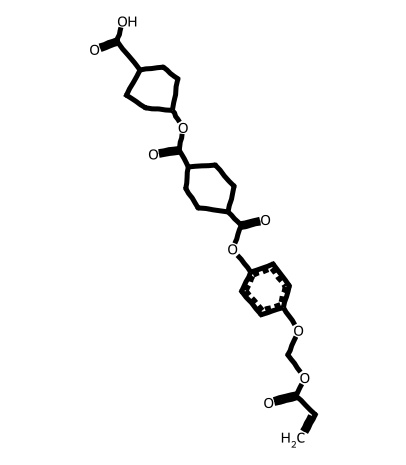 C=CC(=O)OCOc1ccc(OC(=O)C2CCC(C(=O)OC3CCC(C(=O)O)CC3)CC2)cc1